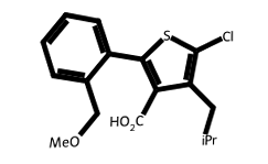 COCc1ccccc1-c1sc(Cl)c(CC(C)C)c1C(=O)O